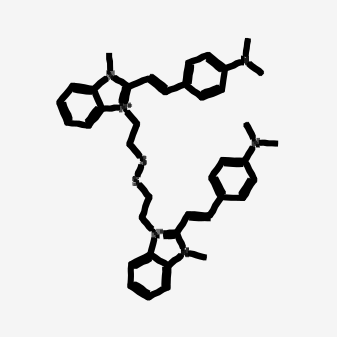 CN(C)c1ccc(C=Cc2n(C)c3ccccc3[n+]2CCSSCC[n+]2c(C=Cc3ccc(N(C)C)cc3)n(C)c3ccccc32)cc1